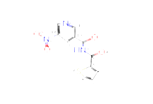 O=C(NC(=O)c1cccs1)c1cncc([N+](=O)[O-])c1